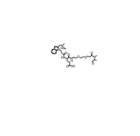 CNN(C)Cc1cc2ccccc2n1CCC(=O)NC(CCC(=O)O)C(=O)NCCOCCOCCC(=O)N(C)C(C)C=O